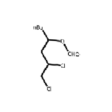 CCCCC(CC(Cl)CCl)O[C]=O